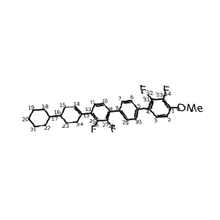 COc1ccc(-c2ccc(-c3ccc(C4=CCC(C5CCCCC5)CC4)c(F)c3F)cc2)c(F)c1F